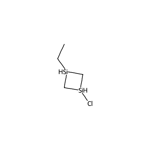 CC[SiH]1C[SiH](Cl)C1